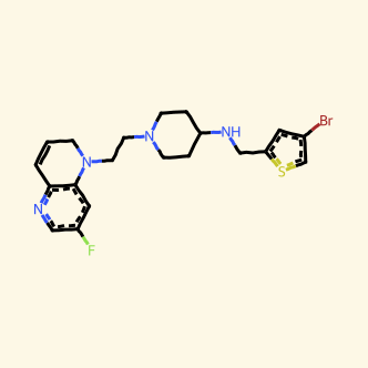 Fc1cnc2c(c1)N(CCN1CCC(NCc3cc(Br)cs3)CC1)CC=C2